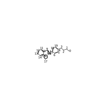 CCCCc1ccc(/N=C/c2ccccc2OC)cc1